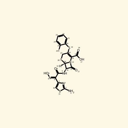 Nc1nc(/C(=N/O)C(=O)N[C@@H]2C(=O)N3C(C(=O)O)=C(Sc4ccccc4I)CS[C@@H]23)cs1